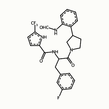 O=CNc1ccccc1C1CCN(C(=O)C(Cc2cccc(F)c2)NC(=O)c2ccc(C(F)(F)F)[nH]2)C1